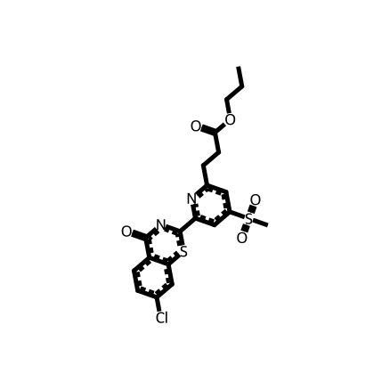 CCCOC(=O)CCc1cc(S(C)(=O)=O)cc(-c2nc(=O)c3ccc(Cl)cc3s2)n1